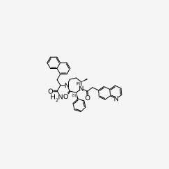 C[C@@H]1CCN(C(Cc2cccc3ccccc23)C(N)=O)C(=O)[C@H](c2ccccc2)N1C(=O)Cc1ccc2ncccc2c1